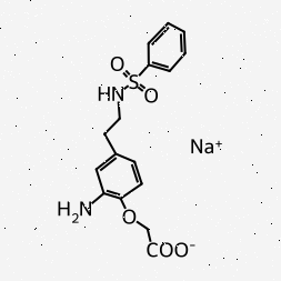 Nc1cc(CCNS(=O)(=O)c2ccccc2)ccc1OCC(=O)[O-].[Na+]